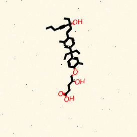 CCCC#CC(O)(C=Cc1ccc(C(CC)(CC)c2ccc(OC[C@@H](O)CCC(=O)O)c(C)c2)cc1C)CC